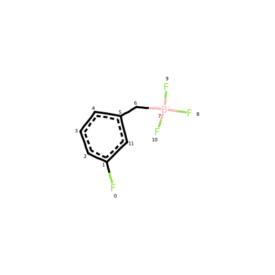 Fc1cccc(C[B-](F)(F)F)c1